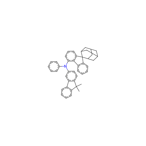 CC1(C)c2ccccc2-c2cc(N(c3ccccc3)c3cccc4c3-c3ccccc3C43C4CC5CC(C4)CC3C5)ccc21